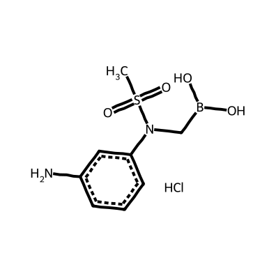 CS(=O)(=O)N(CB(O)O)c1cccc(N)c1.Cl